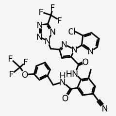 Cc1cc(C#N)cc(C(=O)NCc2cccc(OC(F)(F)F)c2)c1NC(=O)c1cc(Cn2nnc(C(F)(F)F)n2)nn1-c1ncccc1Cl